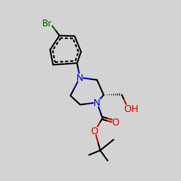 CC(C)(C)OC(=O)N1CCN(c2ccc(Br)cc2)C[C@@H]1CO